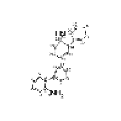 NC1C=CC=CC1c1cccc(C2=CC3C4=CCCC=C4NC3C=C2)c1